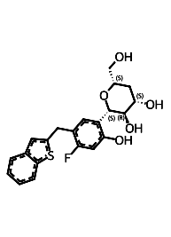 OC[C@@H]1C[C@H](O)[C@@H](O)[C@H](c2cc(Cc3cc4ccccc4s3)c(F)cc2O)O1